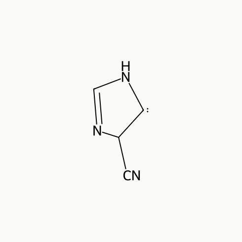 N#CC1[C]NC=N1